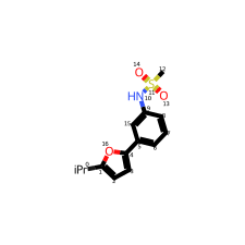 CC(C)c1ccc(-c2cccc(NS(C)(=O)=O)c2)o1